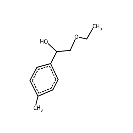 CCOCC(O)c1ccc(C)cc1